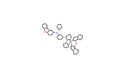 c1ccc(N(c2cccc(-c3cccc4c3-c3ccccc3C43c4ccc5ccccc5c4Oc4c3ccc3ccccc43)c2)c2ccc3oc4ccccc4c3c2)cc1